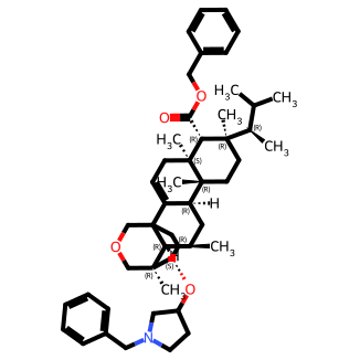 CC(C)[C@@H](C)[C@@]1(C)CC[C@]2(C)[C@H]3CC[C@@H]4C5(COC[C@]4(C)[C@@H](OC4CCN(Cc6ccccc6)C4)[C@H](C)C5)C3=CC[C@@]2(C)[C@@H]1C(=O)OCc1ccccc1